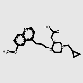 COc1ccc2nccc(CCC[C@@H]3CCN(CC4CC4)C[C@@H]3CC(=O)O)c2c1